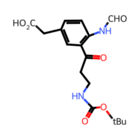 CC(C)(C)OC(=O)NCCC(=O)c1cc(CC(=O)O)ccc1NC=O